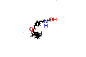 Cc1sc(C(=O)CCc2ccc(CCCNCCO)cc2)c2c1[C@H]1[C@@H](C2)C1(C)C